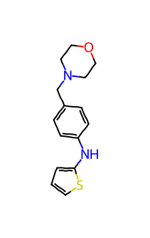 c1csc(Nc2ccc(CN3CCOCC3)cc2)c1